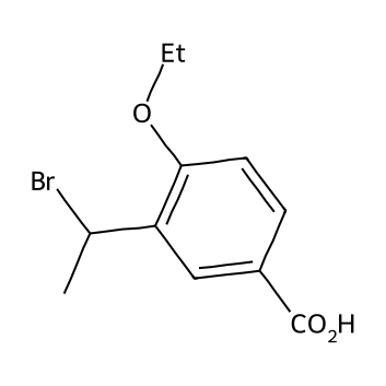 CCOc1ccc(C(=O)O)cc1C(C)Br